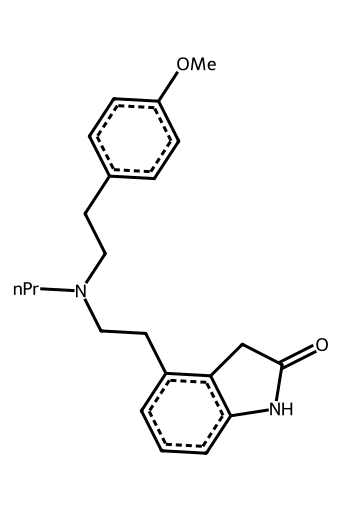 CCCN(CCc1ccc(OC)cc1)CCc1cccc2c1CC(=O)N2